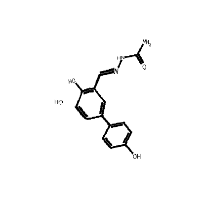 Cl.NC(=O)NN=Cc1cc(-c2ccc(O)cc2)ccc1O